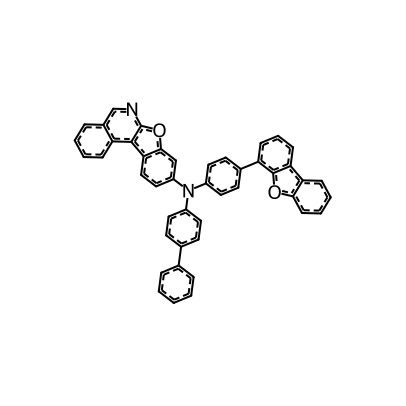 c1ccc(-c2ccc(N(c3ccc(-c4cccc5c4oc4ccccc45)cc3)c3ccc4c(c3)oc3ncc5ccccc5c34)cc2)cc1